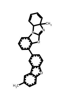 Cc1ccc2oc3ccc(-c4cccc5c4OC4=NC6(C)C=CC=CC6N45)cc3c2c1